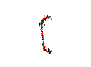 Nc1nc(OCc2ccc(CNC(=O)CCc3cn(CCOCCOCCOCCOCCOCCOCCOCCOCCOCCOCCOCCOCCC(=O)NCC(=O)Nc4ccc(N=Nc5ccc(NC(=O)CCC[C@@H](C[C@H](N)C(=O)O)C(=O)O)cc5)cc4)nn3)cc2)c2nc[nH]c2n1